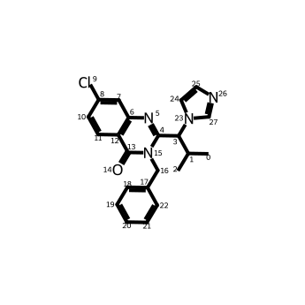 CC(C)C(c1nc2cc(Cl)ccc2c(=O)n1Cc1ccccc1)n1ccnc1